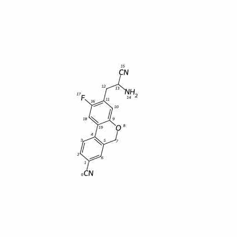 N#Cc1ccc2c(c1)COc1cc(CC(N)C#N)c(F)cc1-2